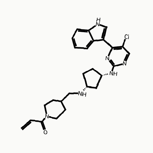 C=CC(=O)N1CCC(CN[C@@H]2CC[C@H](Nc3ncc(Cl)c(-c4c[nH]c5ccccc45)n3)C2)CC1